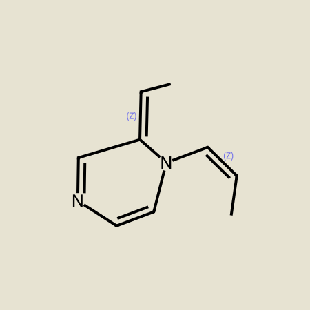 C/C=C\N1C=CN=C/C1=C/C